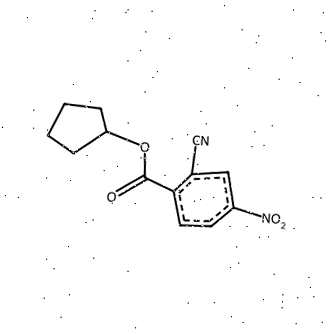 N#Cc1cc([N+](=O)[O-])ccc1C(=O)OC1CCCC1